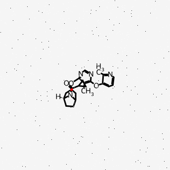 Cc1ncccc1Oc1ncnc(O[C@H]2CC3CC[C@@H](C2)N3C(=O)C2CC2)c1C